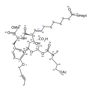 CC#CCOc1ccc(C[C@H](NC(=O)[C@@H](/C=C/CCCCCCC(=O)CCCCCCC)[C@@](O)(CC(=O)OC(C)OC(=O)N(C)CCCOC(C)=O)C(=O)O)C(=O)OC)cc1